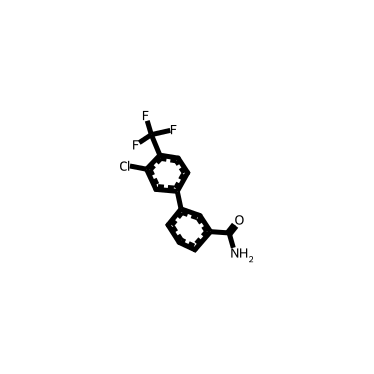 NC(=O)c1cccc(-c2ccc(C(F)(F)F)c(Cl)c2)c1